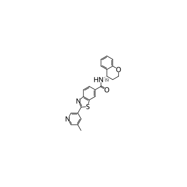 Cc1cncc(-c2nc3ccc(C(=O)N[C@H]4CCOc5ccccc54)cc3s2)c1